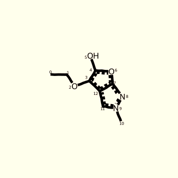 CCOc1c(O)oc2nn(C)cc12